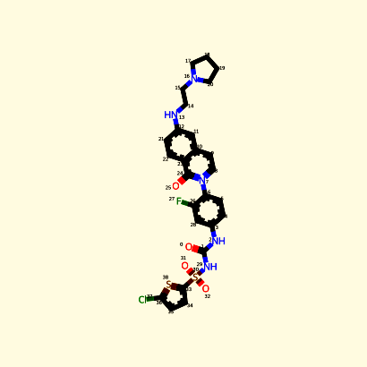 O=C(Nc1ccc(-n2ccc3cc(NCCN4CCCC4)ccc3c2=O)c(F)c1)NS(=O)(=O)c1ccc(Cl)s1